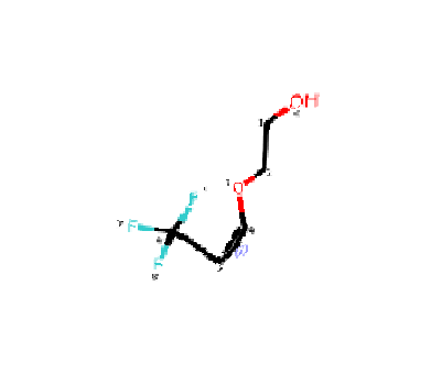 OCCO/C=C\C(F)(F)F